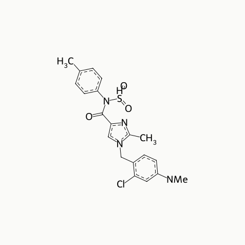 CNc1ccc(Cn2cc(C(=O)N(c3ccc(C)cc3)[SH](=O)=O)nc2C)c(Cl)c1